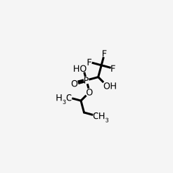 CCC(C)OP(=O)(O)C(O)C(F)(F)F